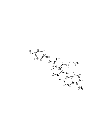 CCOC[C@H]1C(=O)N(Cc2ccc3c(N)ncnc3c2)CCN1C(=O)CNc1ccc(Cl)nc1